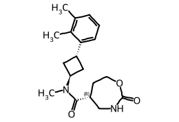 Cc1cccc([C@H]2C[C@H](N(C)C(=O)[C@@H]3CCOC(=O)NC3)C2)c1C